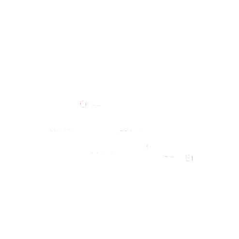 CC/C=C/C1=CCC(C)OC1